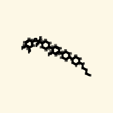 CCCCCC1CCC(C2CCC(c3ccc(C4CCC(C(F)(F)Oc5ccc(F)c(F)c5)CC4)c(F)c3)CC2)CC1